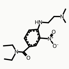 CCN(CC)C(=O)c1ccc(NCCN(C)C)c([N+](=O)[O-])c1